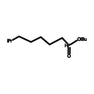 CC(C)CCCCC[PH](=O)OCC(C)C